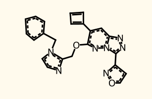 C1=CC(c2cc3nnc(-c4ccon4)n3nc2OCc2nccn2Cc2ccccc2)=C1